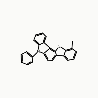 Cc1cccc2c1sc1c2ccc2c1c1ccccc1n2-c1ccccc1